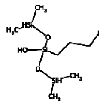 C[SiH](C)O[Si](O)(CCCI)O[SiH](C)C